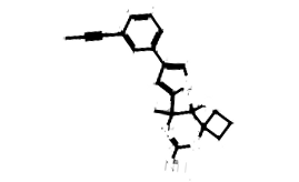 CC#Cc1cccc(-c2csc(C3(C)N=C(N)SC4(CCC4)C3(F)F)c2)c1